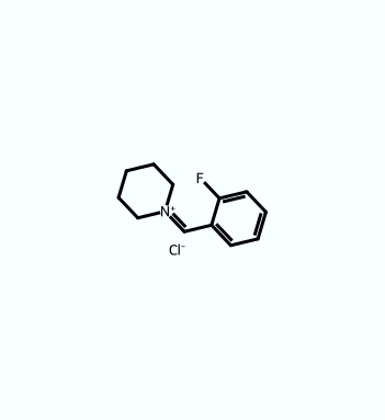 Fc1ccccc1C=[N+]1CCCCC1.[Cl-]